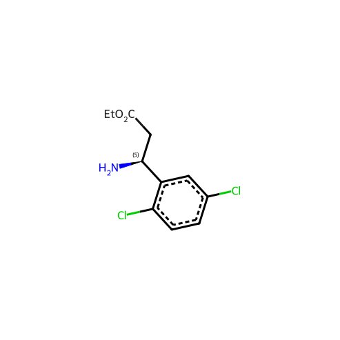 CCOC(=O)C[C@H](N)c1cc(Cl)ccc1Cl